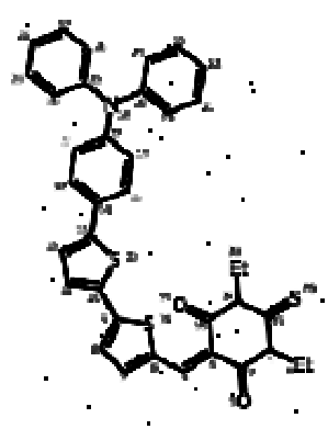 CCC1C(=O)C(=Cc2ccc(-c3ccc(-c4ccc(N(c5ccccc5)c5ccccc5)cc4)s3)s2)C(=O)C(CC)C1=S